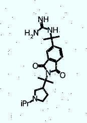 CC(C)N1CCC(C(C)(C)N2C(=O)c3ccc(C(C)(C)NC(=N)N)cc3C2=O)C1